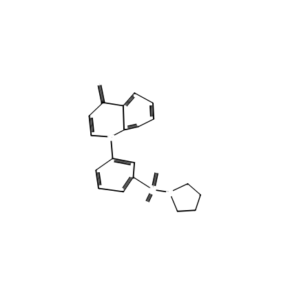 O=c1ccn(-c2cccc(S(=O)(=O)N3CCCC3)c2)c2ccccc12